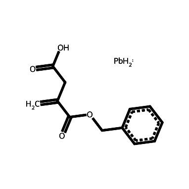 C=C(CC(=O)O)C(=O)OCc1ccccc1.[PbH2]